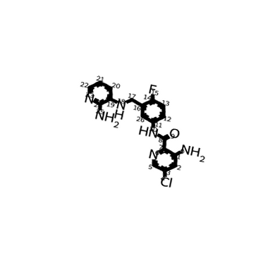 Nc1cc(Cl)cnc1C(=O)Nc1ccc(F)c(CNc2cccnc2N)c1